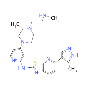 CNCCN1CCN(c2ccnc(Nc3nc4ccc(-c5cn[nH]c5C)nc4s3)c2)CC1C